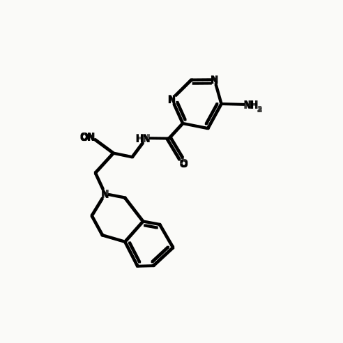 Nc1cc(C(=O)NCC(CN2CCc3ccccc3C2)N=O)ncn1